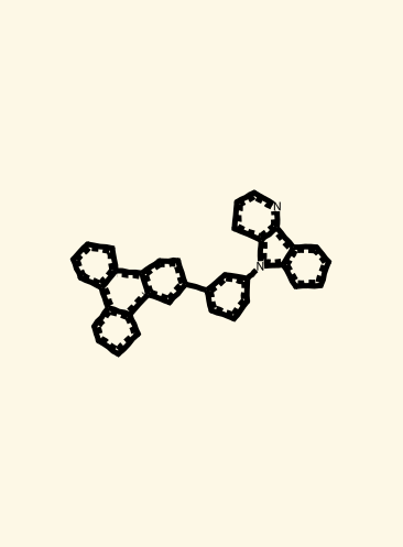 c1cc(-c2ccc3c4ccccc4c4ccccc4c3c2)cc(-n2c3ccccc3c3ncccc32)c1